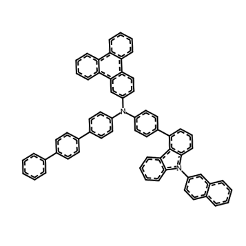 c1ccc(-c2ccc(-c3ccc(N(c4ccc(-c5cccc6c5c5ccccc5n6-c5ccc6ccccc6c5)cc4)c4ccc5c6ccccc6c6ccccc6c5c4)cc3)cc2)cc1